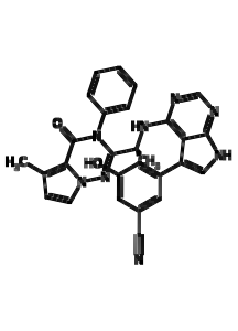 Cc1ccn2nc([C@H](C)Nc3ncnc4[nH]cc(-c5cc(O)cc(C#N)c5)c34)n(-c3ccccc3)c(=O)c12